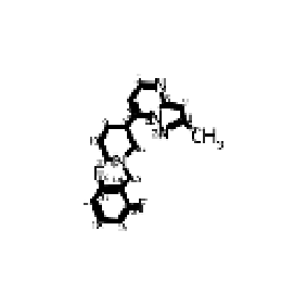 Cc1cc2nccc(C3CCCN(Cc4c(F)cccc4F)C3)n2n1